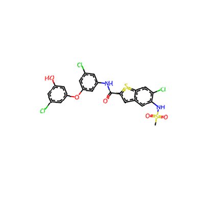 CS(=O)(=O)Nc1cc2cc(C(=O)Nc3cc(Cl)cc(Oc4cc(O)cc(Cl)c4)c3)sc2cc1Cl